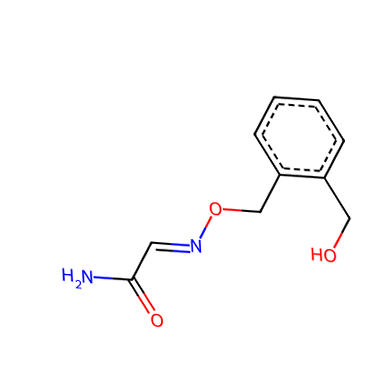 NC(=O)C=NOCc1ccccc1CO